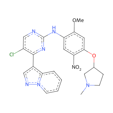 COc1cc(OC2CCN(C)C2)c([N+](=O)[O-])cc1Nc1ncc(Cl)c(-c2cnn3ccccc23)n1